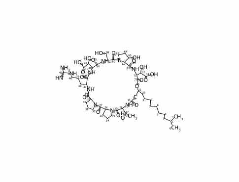 CC(C)CCCCCCCCC1CC(=O)NC(C(C)O)C(=O)N2CCCC2C(=O)N2CCCC2C(=O)NC(CCCNC(=N)N)C(=O)NC(C(O)C(=O)O)C(=O)NC(CO)C(=O)N2CCC(O)C2C(=O)NC(C(O)C(=O)O)C(=O)O1